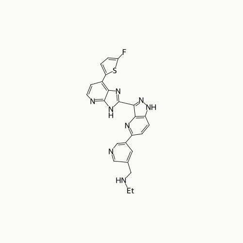 CCNCc1cncc(-c2ccc3[nH]nc(-c4nc5c(-c6ccc(F)s6)ccnc5[nH]4)c3n2)c1